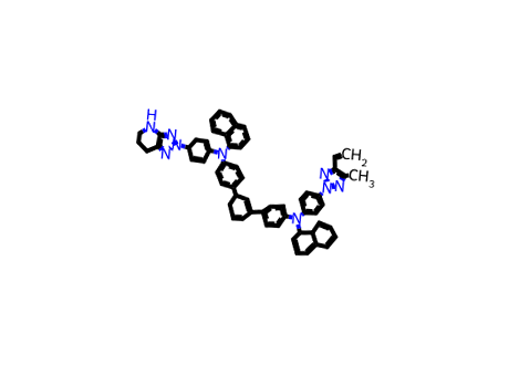 C=Cc1nn(-c2ccc(N(c3ccc(C4=CC(c5ccc(N(C6=CCC(n7nc8c(n7)NCCC8)C=C6)c6cccc7ccccc67)cc5)CC=C4)cc3)C3C=CC=C4C=CC=CC43)cc2)nc1C